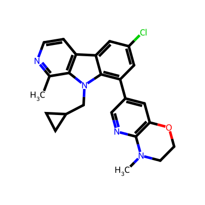 Cc1nccc2c3cc(Cl)cc(-c4cnc5c(c4)OCCN5C)c3n(CC3CC3)c12